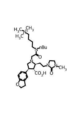 CCCCN(CCCC[N+](C)(C)C)C(=O)CN1C[C@H](c2ccc3c(c2)CCO3)[C@@H](C(=O)O)[C@@H]1CCN1CCN(C)C1=O